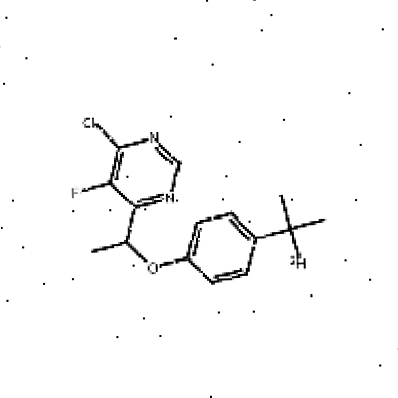 [2H]C(C)(C)c1ccc(OC(C)c2ncnc(Cl)c2F)cc1